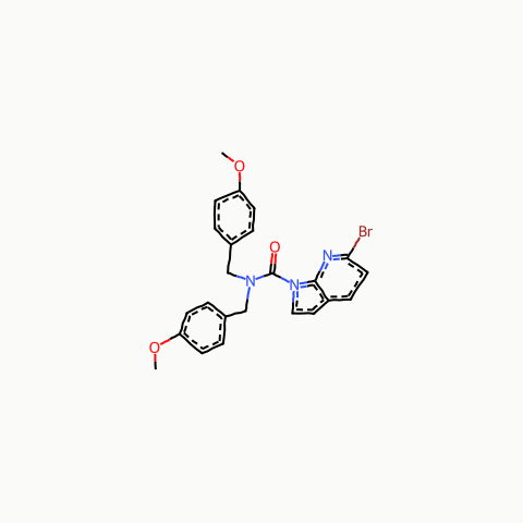 COc1ccc(CN(Cc2ccc(OC)cc2)C(=O)n2ccc3ccc(Br)nc32)cc1